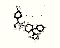 C=CC(c1ccc(C)cc1)S(=O)(=O)N1CCC(c2ccccc2)(c2nn[nH]n2)CC1